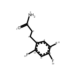 NC(=O)CCc1cc(F)c(F)cc1F